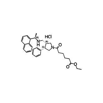 CCOC(=O)CCCCC(=O)N1C[C@@H](CN[C@H](C)c2cccc3ccccc23)[C@@H](c2ccccc2)C1.Cl